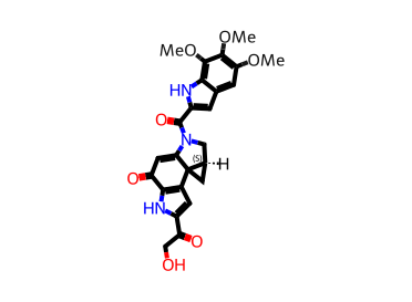 COc1cc2cc(C(=O)N3C[C@H]4CC45C3=CC(=O)c3[nH]c(C(=O)CO)cc35)[nH]c2c(OC)c1OC